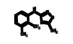 Cc1cccc(Nc2noc(N)n2)c1C